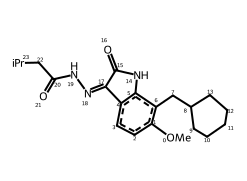 COc1ccc2c(c1CC1CCCCC1)NC(=O)/C2=N\NC(=O)CC(C)C